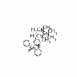 CN(C)[S+](N(C)C)N(C)C.Fc1cccc[c]1[Sn]([F])([c]1ccccc1)[c]1ccccc1